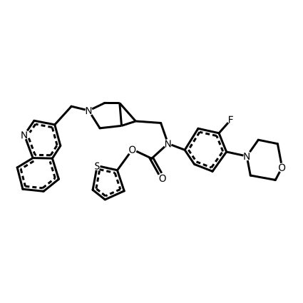 O=C(Oc1cccs1)N(CC1C2CN(Cc3cnc4ccccc4c3)CC21)c1ccc(N2CCOCC2)c(F)c1